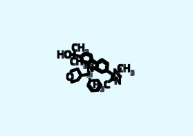 Cc1ncn(C)c1-c1ccc2c3ccc(C(C)(C)O)cc3n([C@H](C3C=CC=CC3)C3CCOCC3)c2c1